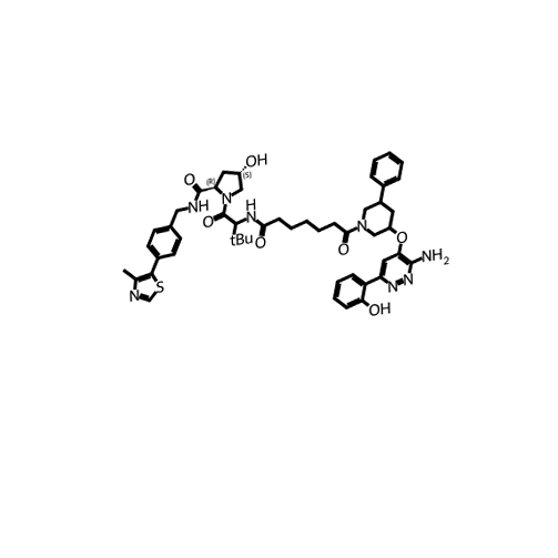 Cc1ncsc1-c1ccc(CNC(=O)[C@H]2C[C@H](O)CN2C(=O)C(NC(=O)CCCCCC(=O)N2CC(Oc3cc(-c4ccccc4O)nnc3N)CC(c3ccccc3)C2)C(C)(C)C)cc1